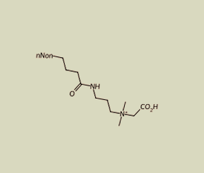 CCCCCCCCCCCCC(=O)NCCC[N+](C)(C)CC(=O)O